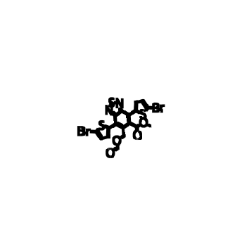 COC(=O)c1c(COC=O)c(-c2ccc(Br)s2)c2nsnc2c1-c1ccc(Br)s1